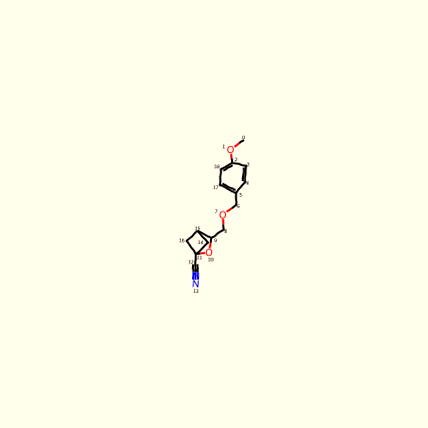 COc1ccc(COCC2OC3(C#N)CC2C3)cc1